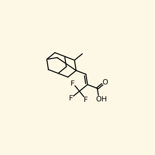 CC1C2CC3CC(C2)CC1(C=C(C(=O)O)C(F)(F)F)C3